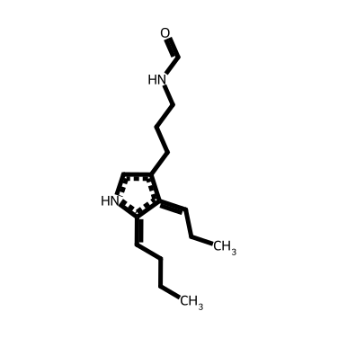 CC/C=c1/c(CCCNC=O)c[nH]/c1=C/CCC